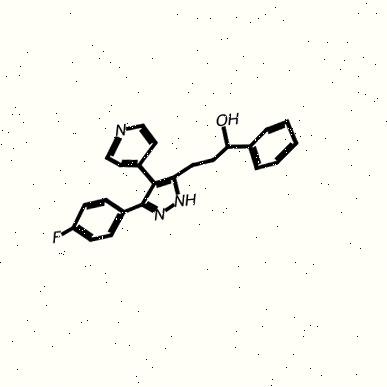 OC(CCc1[nH]nc(-c2ccc(F)cc2)c1-c1ccncc1)c1ccccc1